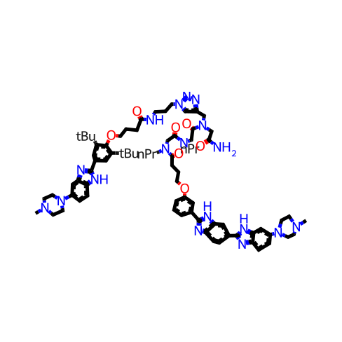 CCCN(CC(=O)N(CCC)CC(=O)N(CC(N)=O)Cc1cn(CCCNC(=O)CCCOc2c(C(C)(C)C)cc(-c3nc4cc(N5CCN(C)CC5)ccc4[nH]3)cc2C(C)(C)C)nn1)C(=O)CCCOc1cccc(-c2nc3ccc(-c4nc5ccc(N6CCN(C)CC6)cc5[nH]4)cc3[nH]2)c1